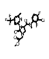 COC(=O)CN1CC(C(=O)N(C)c2ccc(F)c(Cl)c2F)N(c2cc(C(F)(F)F)cc(C)n2)C1=O